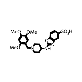 COc1cc(OC)c(OC)cc1CN1CCC(Nc2nc3cc(S(=O)(=O)O)ccc3o2)CC1